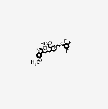 COc1ccc2ncc(Cl)c(CCCC3CCN(CCSc4cc(F)cc(F)c4F)CC3CC(=O)O)c2c1